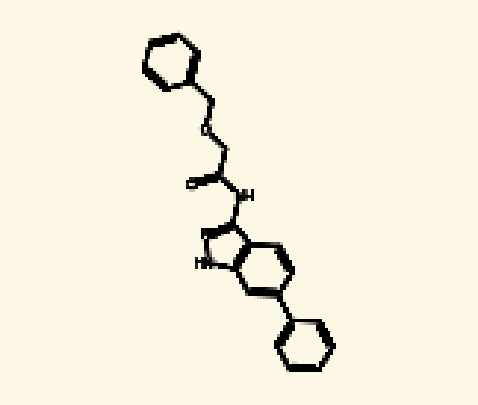 O=C(COCc1ccccc1)Nc1n[nH]c2cc(-c3ccccc3)ccc12